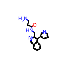 NCCC(=O)NCc1ncc2ccccc2c1-c1cccnc1